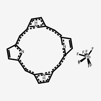 C1=Cc2cc3ccc(cc4nc(cc5ccc(cc1n2)[nH]5)C=C4)[nH]3.[F][Yb]([F])([F])([F])([F])([F])([F])[F]